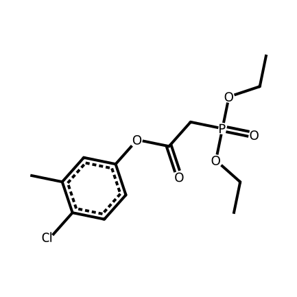 CCOP(=O)(CC(=O)Oc1ccc(Cl)c(C)c1)OCC